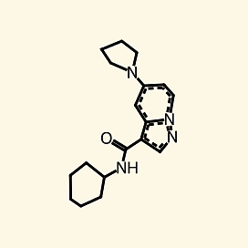 O=C(NC1CCCCC1)c1cnn2ccc(N3CCCC3)cc12